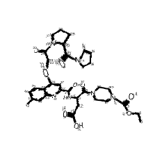 CCOC(=O)N1CCN(C(=O)C(CC(=O)O)NC(=O)c2cc(OCC(=O)N3CCCC3C(=O)N3CCCC3)c3ccc(C)cc3n2)CC1